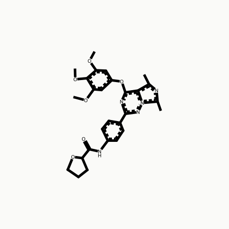 COc1cc(Oc2nc(-c3ccc(NC(=O)C4CCCO4)cc3)nn3c(C)nc(C)c23)cc(OC)c1OC